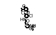 CCS(=O)(=O)N[C@@H]1CCCN(CC(=O)Nc2cc(Cl)c(Oc3ccc(OC)c(C(C)C)c3)c(Cl)c2)C1